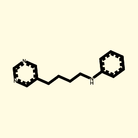 c1ccc(NCCCCc2cncnc2)cc1